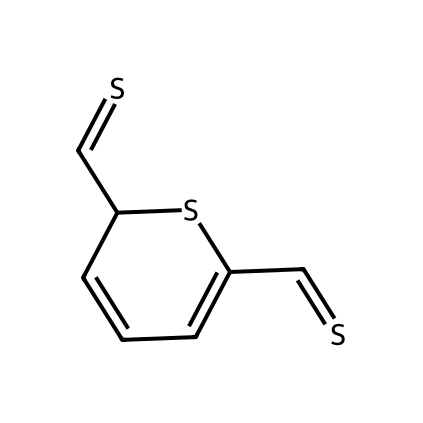 S=CC1=CC=CC(C=S)S1